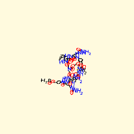 BC(=O)OCc1ccc(NC(=O)[C@H](CCCNC(N)=O)NC(=O)[C@@H](NC(=O)OCCN(CCOC(=O)N[C@H](C(=O)N[C@@H](CCCNC(N)=O)C(=O)Nc2ccc(COC(B)=O)cc2)C(C)C)C(=O)OCCOCCNSNC(=O)ON)C(C)C)cc1